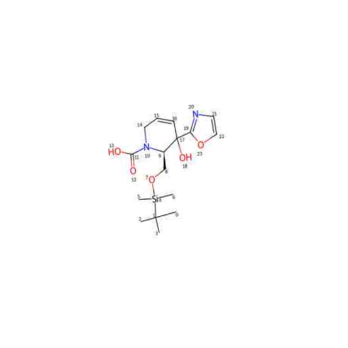 CC(C)(C)[Si](C)(C)OC[C@H]1N(C(=O)O)CC=CC1(O)c1ncco1